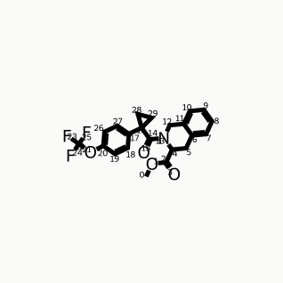 COC(=O)C1Cc2ccccc2CN1C(=O)C1(c2ccc(OC(F)(F)F)cc2)CC1